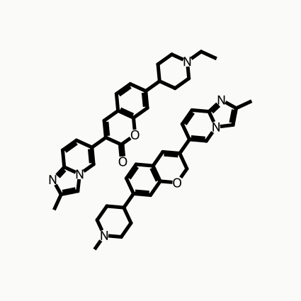 CCN1CCC(c2ccc3cc(-c4ccc5nc(C)cn5c4)c(=O)oc3c2)CC1.Cc1cn2cc(C3=Cc4ccc(C5CCN(C)CC5)cc4OC3)ccc2n1